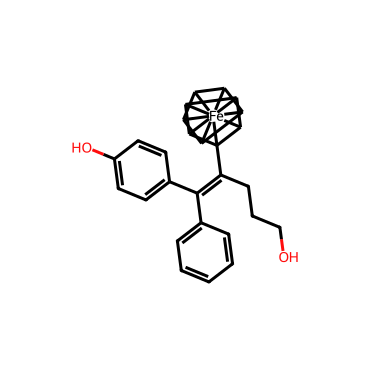 OCCCC(=C(c1ccccc1)c1ccc(O)cc1)[C]12[CH]3[CH]4[CH]5[CH]1[Fe]45321678[CH]2[CH]1[CH]6[CH]7[CH]28